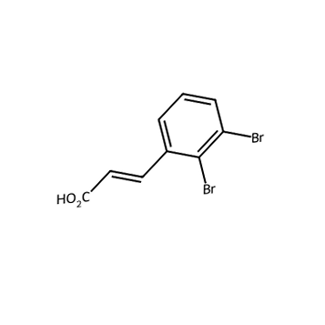 O=C(O)C=Cc1cccc(Br)c1Br